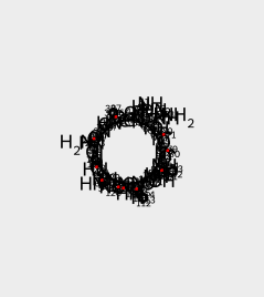 C=C(c1cnc[nH]1)[C@@H]1NC(=O)[C@@H]2CCCN2C(=O)[C@H](CC(N)=O)NC(=O)[C@H](C)N(C)C(=O)[C@H](Cc2ccccc2)NC(=O)CC[C@@H](C(=O)NCC(N)=O)NC(=O)[C@H](CCCNC(=N)N)NC(=O)[C@H](CCCC)N(C)C(=O)[C@H](CCCC)N(C)C(=O)[C@H](Cc2c[nH]c3ccccc23)NC(=O)[C@H](CO)NC(=O)[C@H](Cc2c[nH]c3ccccc23)NC(=O)CN(C)C(=O)[C@H](CC(C)C)NC1=O